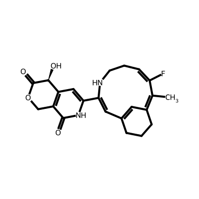 C/C1=C2C=C(/C=C(/c3cc4c(c(=O)[nH]3)COC(=O)[C@H]4O)NCCC=C1F)CCC/2